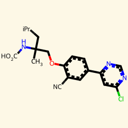 CC(C)CC(C)(COc1ccc(-c2cc(Cl)ncn2)cc1C#N)NC(=O)O